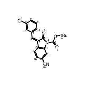 CC(C)(C)OC(=O)N1C(=O)C(=Cc2cccc(Cl)c2)c2ccc(C#N)cc21